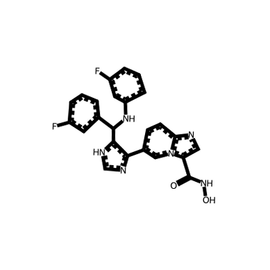 O=C(NO)c1cnc2ccc(-c3nc[nH]c3C(Nc3cccc(F)c3)c3cccc(F)c3)cn12